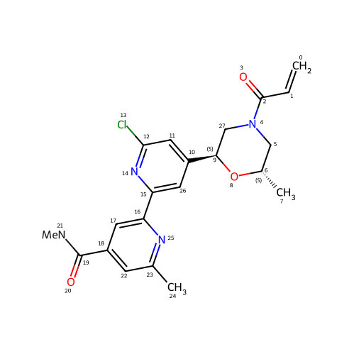 C=CC(=O)N1C[C@H](C)O[C@@H](c2cc(Cl)nc(-c3cc(C(=O)NC)cc(C)n3)c2)C1